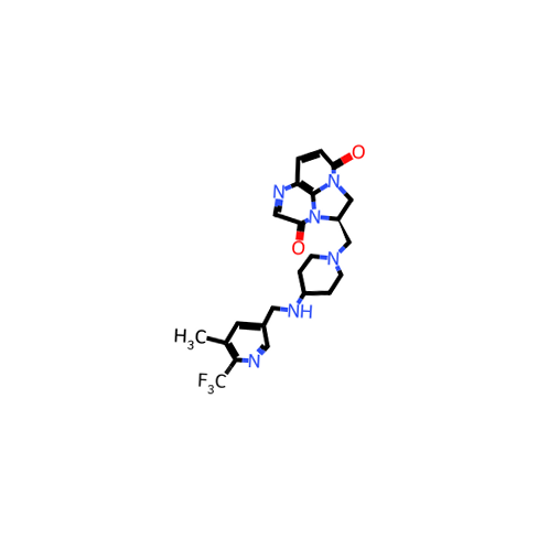 Cc1cc(CNC2CCN(C[C@@H]3Cn4c(=O)ccc5ncc(=O)n3c54)CC2)cnc1C(F)(F)F